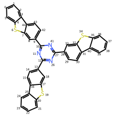 c1ccc2c(c1)sc1cc(-c3nc(-c4ccc5c(c4)sc4ccccc45)nc(-c4ccc5c(c4)sc4ccccc45)n3)ccc12